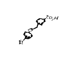 CCc1ccc(OCc2ccc(C(=O)O)cc2)cc1